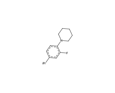 CC(C)c1ccc(N2CCCCC2)c(F)c1